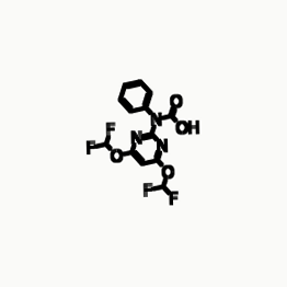 O=C(O)N(c1ccccc1)c1nc(OC(F)F)cc(OC(F)F)n1